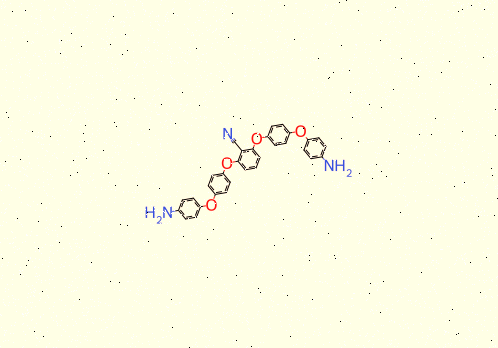 N#Cc1c(Oc2ccc(Oc3ccc(N)cc3)cc2)cccc1Oc1ccc(Oc2ccc(N)cc2)cc1